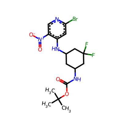 CC(C)(C)OC(=O)NC1CC(Nc2cc(Br)ncc2[N+](=O)[O-])CC(F)(F)C1